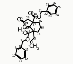 CCCC1(C(=O)OCc2ccccc2)CCCC2(C(=O)OCc3ccccc3)CC(=O)O[C@@]12C